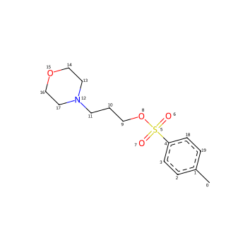 Cc1ccc(S(=O)(=O)OCCCN2CCOCC2)cc1